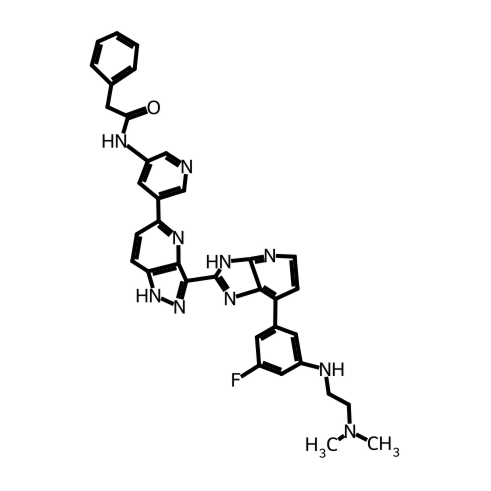 CN(C)CCNc1cc(F)cc(-c2ccnc3[nH]c(-c4n[nH]c5ccc(-c6cncc(NC(=O)Cc7ccccc7)c6)nc45)nc23)c1